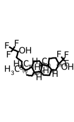 C[C@H](CCC(O)C(F)(F)F)[C@H]1CC[C@H]2[C@@H]3CC[C@H]4C[C@](O)(C(F)(F)F)CC[C@]4(C)[C@H]3CC[C@]12C